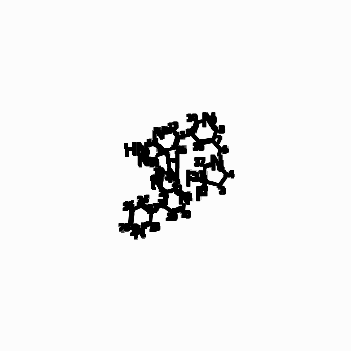 FC1(F)CCN(Cc2cncc(-c3cnc4[nH]nc(-c5nc6c(-c7cccnc7)ccnc6[nH]5)c4c3)c2)C1